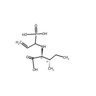 C=CC(N[C@H](C(=O)O)[C@@H](C)CC)P(=O)(O)O